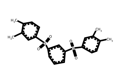 Cc1ccc(S(=O)(=O)c2[c]ccc(S(=O)(=O)c3ccc(C)c(C)c3)c2)cc1C